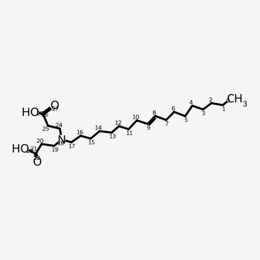 CCCCCCCCC=CCCCCCCCCN(CCC(=O)O)CCC(=O)O